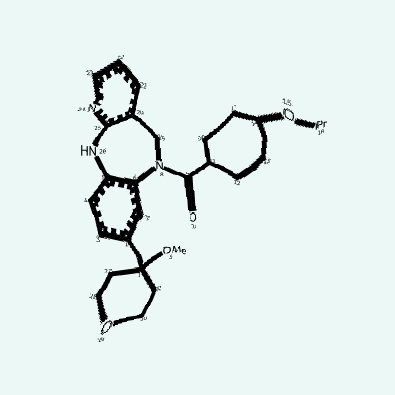 COC1(c2ccc3c(c2)N(C(=O)C2CCC(OC(C)C)CC2)Cc2cccnc2N3)CCOCC1